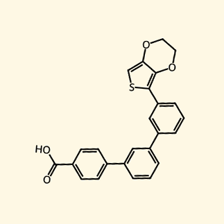 O=C(O)c1ccc(-c2cccc(-c3cccc(-c4scc5c4OCCO5)c3)c2)cc1